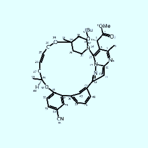 COC(=O)[C@@H](OC(C)(C)C)c1c(C)nc2cc3nn2c1N1CCC(C)(CC1)OCC=CC[C@H](C)Oc1ccc(C#N)cc1-c1cccc-3c1